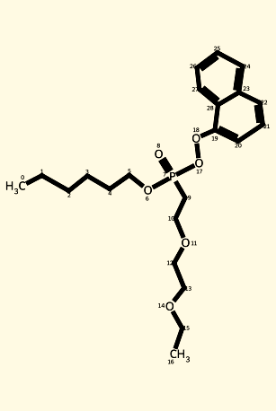 CCCCCCOP(=O)(CCOCCOCC)OOc1cccc2ccccc12